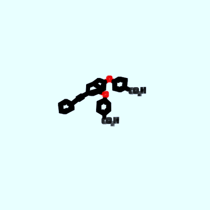 O=C(O)c1ccc(OC23CC4CC(C#Cc5ccccc5)(C2)CC(Oc2ccc(C(=O)O)cc2)(C4)C3)cc1